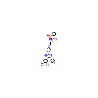 O=C(NCCCCN1CCC(c2nc(-c3ccncc3)c(-c3ccc(Cl)c(Cl)c3)[nH]2)CC1)c1ccccc1[SH](=O)=O